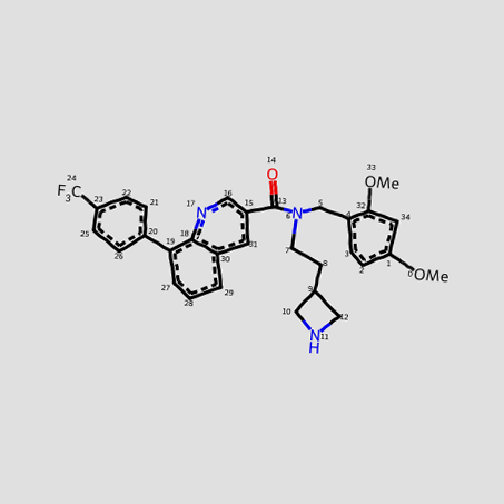 COc1ccc(CN(CCC2CNC2)C(=O)c2cnc3c(-c4ccc(C(F)(F)F)cc4)cccc3c2)c(OC)c1